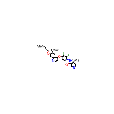 CNCCCOc1cc2nccc(Oc3ccc(NC(=O)c4cnccc4OC)c(F)c3F)c2cc1OC